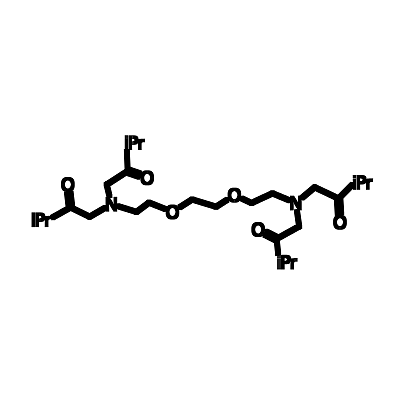 CC(C)C(=O)CN(CCOCCOCCN(CC(=O)C(C)C)CC(=O)C(C)C)CC(=O)C(C)C